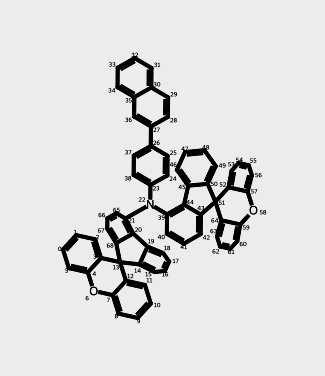 c1ccc2c(c1)Oc1ccccc1C21c2ccccc2-c2c(N(c3ccc(-c4ccc5ccccc5c4)cc3)c3cccc4c3-c3ccccc3C43c4ccccc4Oc4ccccc43)cccc21